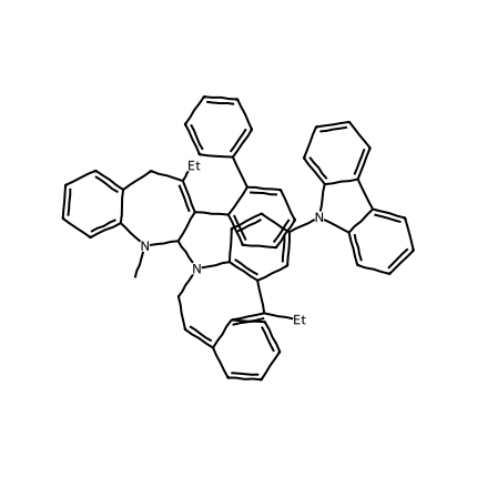 CCC1=C(c2ccccc2-c2ccccc2)C(N2C/C=c3/cccc/c3=C(/CC)c3cc(-n4c5ccccc5c5ccccc54)ccc32)N(C)c2ccccc2C1